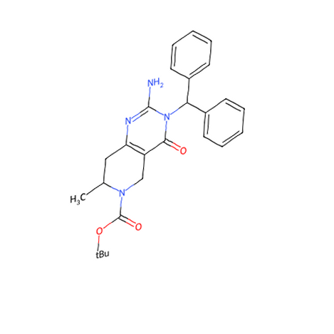 CC1Cc2nc(N)n(C(c3ccccc3)c3ccccc3)c(=O)c2CN1C(=O)OC(C)(C)C